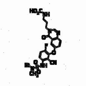 CCN(C)S(=O)(=O)Nc1ccc(F)c(Oc2ccc3ncn(CCCNC(=O)O)c(=O)c3c2)c1C#N